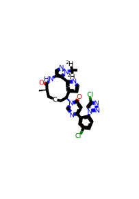 [2H]C([2H])(C)n1ncc2c1-c1cc(ccn1)[C@@H](n1cnc(-c3cc(Cl)ccc3-n3cc(Cl)nn3)cc1=O)CCC[C@@H](C)C(=O)N2